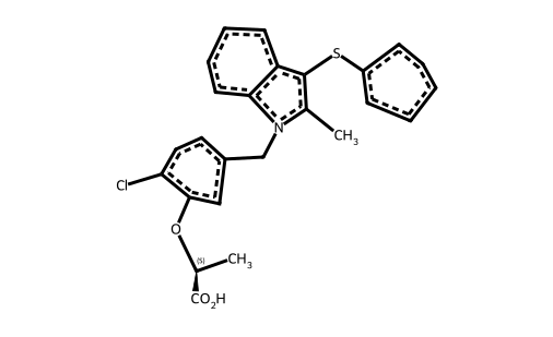 Cc1c(Sc2ccccc2)c2ccccc2n1Cc1ccc(Cl)c(O[C@@H](C)C(=O)O)c1